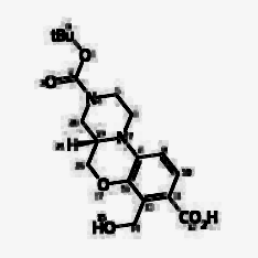 CC(C)(C)OC(=O)N1CCN2c3ccc(C(=O)O)c(CO)c3OC[C@@H]2C1